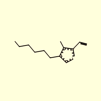 CCCCCCc1csc(C=O)c1C